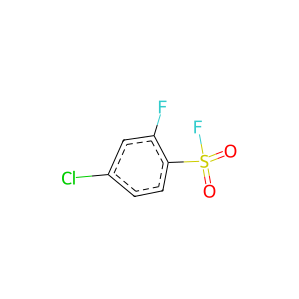 O=S(=O)(F)c1ccc(Cl)cc1F